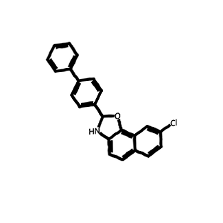 Clc1ccc2ccc3c(c2c1)OC(c1ccc(-c2ccccc2)cc1)N3